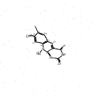 CCCCn1c2nc(=O)[nH]c(=O)c-2nc2cc(C)c(Cl)cc21